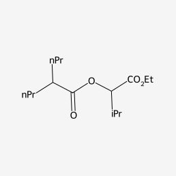 CCCC(CCC)C(=O)OC(C(=O)OCC)C(C)C